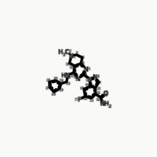 CN1CCc2nc(-n3ncc4c(C(N)=O)cc(F)cc43)nc(NCc3ccccc3)c2C1